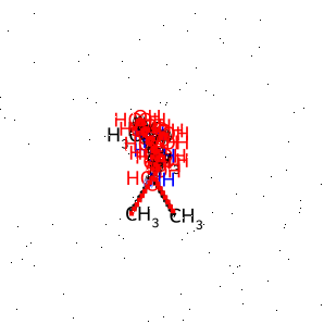 CCCCCCCCCCCCC/C=C/[C@@H](O)[C@H](CO[C@@H]1OC(CO)[C@@H](O[C@@H]2OC(CO)[C@H](O)[C@H](O[C@@H]3OC(CO)[C@@H](O[C@@H]4OC(CO[C@@H]5OC(CO)[C@@H](O)[C@H](O)C5NC(C)=O)[C@H](O)[C@H](O[C@@H]5OC(CO)[C@@H](O[C@@H]6OC(CO)[C@H](O)[C@H](O)C6O)[C@H](O)C5NC(C)=O)C4O)[C@H](O)C3NC(C)=O)C2O)[C@H](O)C1O)NC(=O)CCCCCCCCCCCCCCC